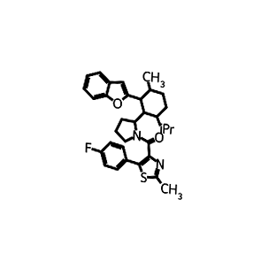 Cc1nc(C(=O)N2CCCC2C2C(C(C)C)CCC(C)C2c2cc3ccccc3o2)c(-c2ccc(F)cc2)s1